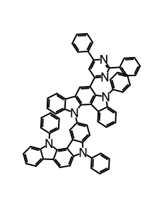 c1ccc(-c2cc(-c3cc4c5ccccc5n(-c5ccc6c(c5)c5c(ccc7c8ccccc8n(-c8ccccc8)c75)n6-c5ccccc5)c4c4c5ccccc5n(-c5ccccc5)c34)nc(-c3ccccc3)n2)cc1